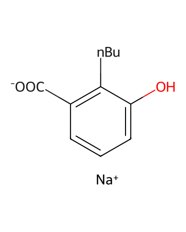 CCCCc1c(O)cccc1C(=O)[O-].[Na+]